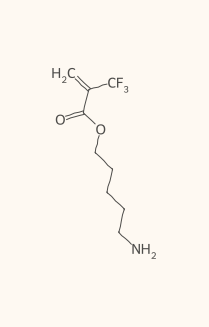 C=C(C(=O)OCCCCCN)C(F)(F)F